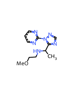 COCCNC(C)c1ncnn1-c1ncccn1